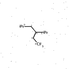 CC(C)CC(CC(F)(F)F)C(C)C